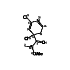 CON(C)C(=O)C1(Cl)C=C(Cl)N=CC1